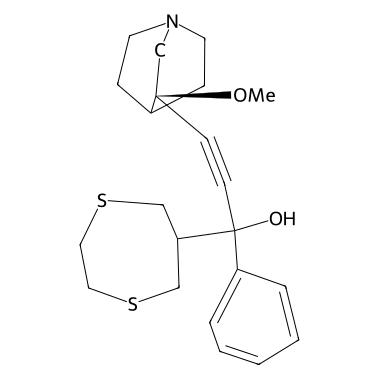 CO[C@]1(C#CC(O)(c2ccccc2)C2CSCCSC2)CN2CCC1CC2